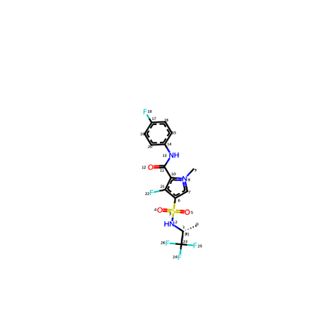 C[C@@H](NS(=O)(=O)c1cn(C)c(C(=O)Nc2ccc(F)cc2)c1F)C(F)(F)F